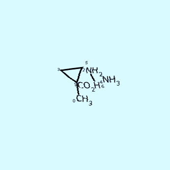 CC1CC1.N.NC(=O)O